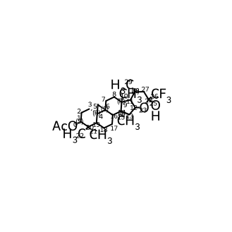 CC(=O)O[C@H]1CC[C@]23C[C@]24CC[C@]2(C)C5C(C[C@@]2(C)C4CCC3C1(C)C)OC(O)(C(F)(F)F)C[C@H]5C